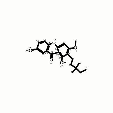 CCC(C)(C)CCc1c(OC)cc2oc3ccc(O)cc3c(=O)c2c1O